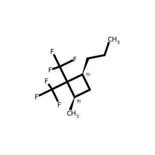 CCC[C@H]1C[C@@H](C)C1(C(F)(F)F)C(F)(F)F